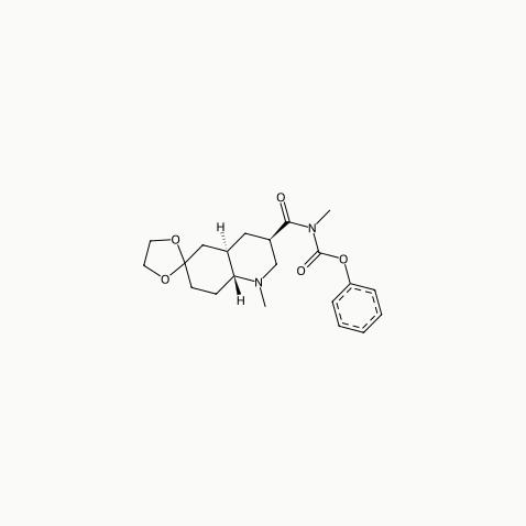 CN(C(=O)Oc1ccccc1)C(=O)[C@@H]1C[C@@H]2CC3(CC[C@H]2N(C)C1)OCCO3